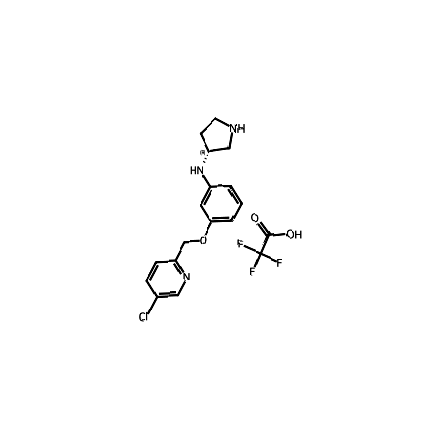 Clc1ccc(COc2cccc(N[C@@H]3CCNC3)c2)nc1.O=C(O)C(F)(F)F